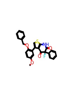 COc1ccc(OCc2ccccc2)c(-c2csc3c2C(=O)C(F)(c2ccccc2)C(=O)N3)c1